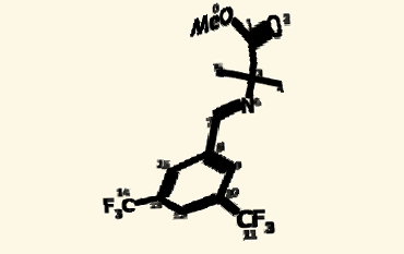 COC(=O)C(C)(C)N=Cc1cc(C(F)(F)F)cc(C(F)(F)F)c1